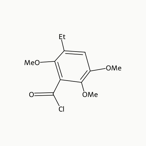 CCc1cc(OC)c(OC)c(C(=O)Cl)c1OC